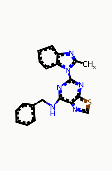 Cc1nc2ccccc2n1-c1nc(NCc2ccccc2)c2ncsc2n1